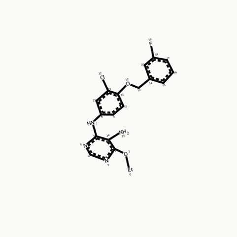 CCOc1ncnc(Nc2ccc(OCc3cccc(F)c3)c(Cl)c2)c1N